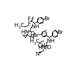 CC(C)C[C@H](N[C@@H](c1ccc(Br)cc1)c1cc(Br)cs1)C(=O)NCC#N.CCC[C@H](N[C@@H](c1ccc(Br)cc1)C(F)(F)F)C(=O)NC1(C#N)CC1